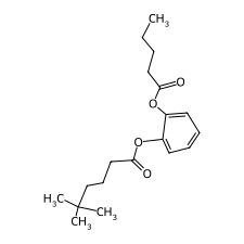 CCCCC(=O)Oc1ccccc1OC(=O)CCCC(C)(C)C